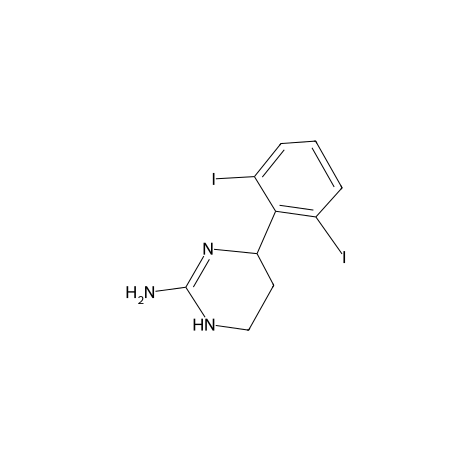 NC1=NC(c2c(I)cccc2I)CCN1